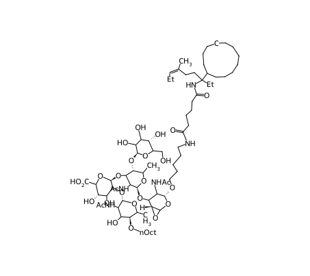 CC/C=C(/C)CCC(CC)(NC(=O)CCCCC(=O)NCCCCCO[C@@H]1OC2O[C@@H]2C(O[C@@H]2OC(C)[C@@H](O[C@@H]3OC(CO)[C@@H](O)C(O)C3O)C(O[C@@H]3OC(C(=O)O)[C@@H](O)C(O)C3O[C@@H]3OC(C)[C@@H](OCCCCCCCC)C(O)C3NC(C)=O)C2NC(C)=O)C1NC(C)=O)C1CCCCCCCCCCC1